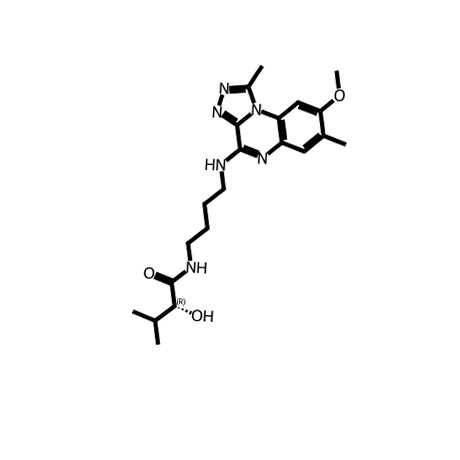 COc1cc2c(cc1C)nc(NCCCCNC(=O)[C@H](O)C(C)C)c1nnc(C)n12